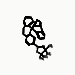 CC1(C)OB(c2ccc3c(c2)C2(c4ccccc4C=C3)c3ccccc3-c3ccccc32)OC1(C)C